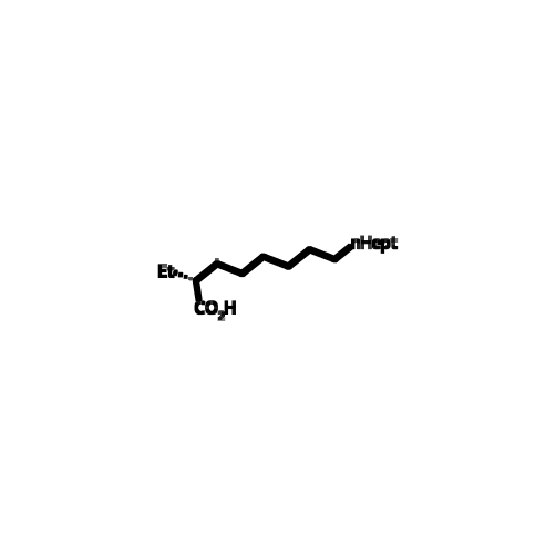 CCCCCCCCCCCC[CH][C@@H](CC)C(=O)O